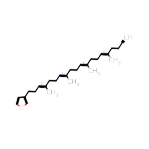 C#CCC/C(C)=C/CC/C(C)=C/CC/C(C)=C/CC/C(C)=C/CCc1ccoc1